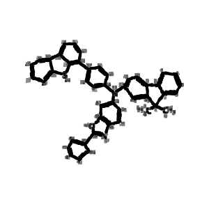 CC1(C)c2ccccc2-c2ccc(N(c3ccc(-c4cccc5c4sc4ccccc45)cc3)c3ccc4nc(-c5ccccc5)oc4c3)cc21